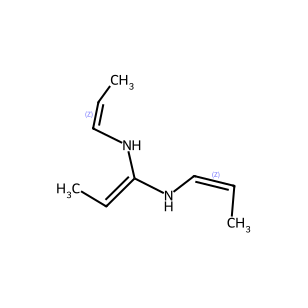 CC=C(N/C=C\C)N/C=C\C